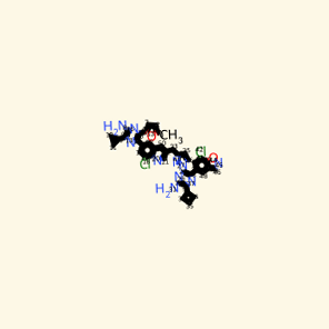 Cc1ccc(-c2nc(N)c(C3CC3)nc2-c2cc(Cl)c3ncc(Cc4ccn(-c5nc(N)c(C6CCC6)nc5-c5cc(Cl)c6oncc6c5)n4)cc3c2)o1